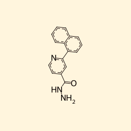 NNC(=O)c1ccnc(-c2cccc3ccccc23)c1